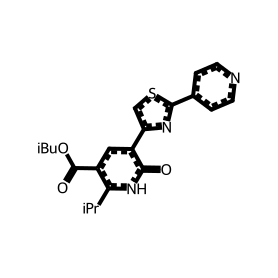 CC(C)COC(=O)c1cc(-c2csc(-c3ccncc3)n2)c(=O)[nH]c1C(C)C